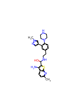 Cc1ccc2c(N)c(C(O)NCCc3ccc(N4CCNCC4)c(-c4cnn(C)c4)c3)sc2n1